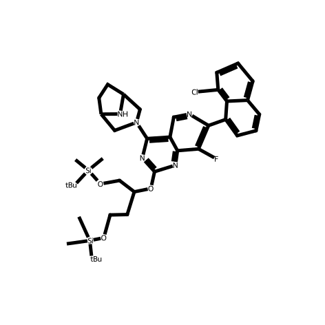 CC(C)(C)[Si](C)(C)OCCC(CO[Si](C)(C)C(C)(C)C)Oc1nc(N2CC3CCC(C2)N3)c2cnc(-c3cccc4cccc(Cl)c34)c(F)c2n1